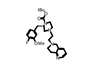 COc1cc(C[C@@H]2CN(CCN3CCc4ncccc4C3)CCN2C(=O)OC(C)(C)C)ccc1F